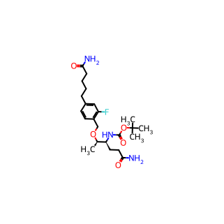 C[C@@H](OCc1ccc(CCCCC(N)=O)cc1F)[C@H](CCC(N)=O)NC(=O)OC(C)(C)C